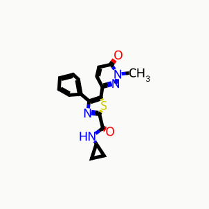 Cn1nc(-c2sc(C(=O)NC3CC3)nc2-c2ccccc2)ccc1=O